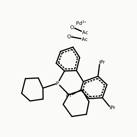 CC(=O)[O-].CC(=O)[O-].CC(C)c1cc(C(C)C)c(-c2ccccc2P(C2CCCCC2)C2CCCCC2)c(C(C)C)c1.[Pd+2]